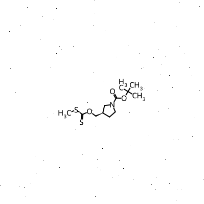 CSC(=S)OC[C@@H]1CCN(C(=O)OC(C)(C)C)C1